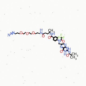 CC(C)C(=O)Nc1nc2ncc(CN(C(=O)C(F)(F)F)c3ccc(C(=O)N[C@H](C)CCC(=O)NCCCOCCOCCOCCCN=[N+]=[N-])cc3)nc2c(=O)[nH]1